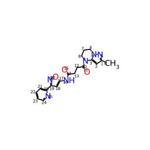 Cc1cc2n(n1)CCCN2C(=O)CCC(=O)Nc1cc(-c2ccccn2)no1